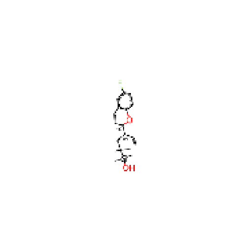 C=C[C@@H](CC(C)(C)[Si](C)(C)O)[C@H]1C=Cc2cc(F)ccc2O1